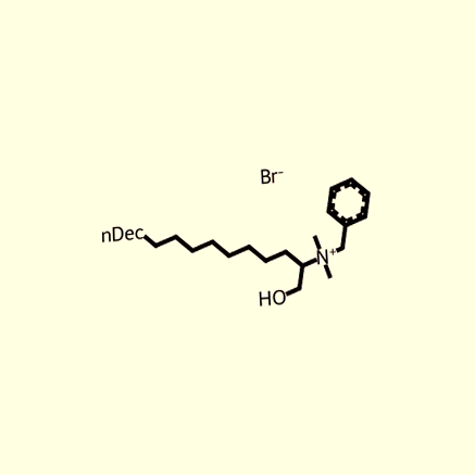 CCCCCCCCCCCCCCCCCCC(CO)[N+](C)(C)Cc1ccccc1.[Br-]